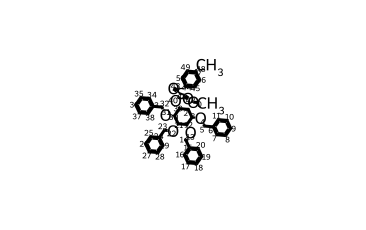 CO[C@H]1[C@@H](OCc2ccccc2)[C@H](OCc2ccccc2)[C@@H](OCc2ccccc2)[C@H](OCc2ccccc2)[C@H]1OS(=O)(=O)c1ccc(C)cc1